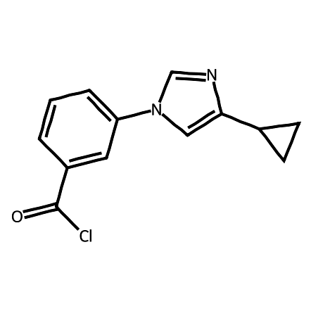 O=C(Cl)c1cccc(-n2cnc(C3CC3)c2)c1